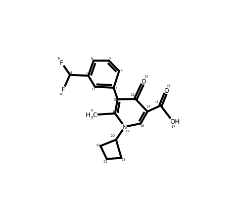 Cc1c(-c2cccc(C(F)F)c2)c(=O)c(C(=O)O)cn1C1CCC1